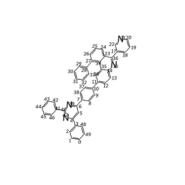 c1ccc(-c2cc(-c3ccc(-c4ccc5nc(-c6cccnc6)c6cccc(-c7ccccc7)c6c5c4)cc3)nc(-c3ccccc3)n2)cc1